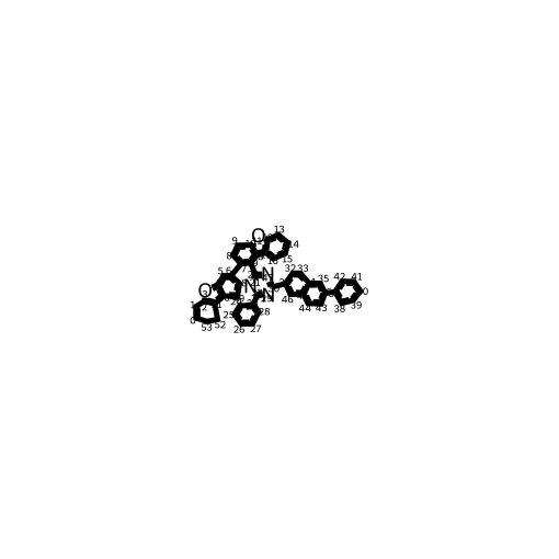 C1=Cc2oc3cc(-c4ccc5oc6ccccc6c5c4-c4nc(-c5ccccc5)nc(-c5ccc6cc(-c7ccccc7)ccc6c5)n4)ccc3c2CC1